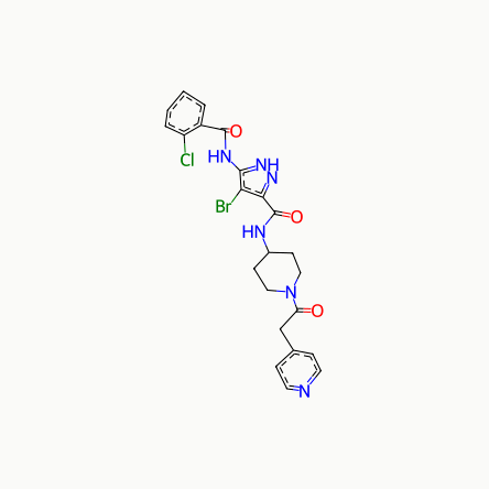 O=C(Nc1[nH]nc(C(=O)NC2CCN(C(=O)Cc3ccncc3)CC2)c1Br)c1ccccc1Cl